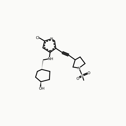 CS(=O)(=O)N1CCC(C#Cc2cnc(Cl)cc2NC[C@H]2CC[C@H](O)CC2)C1